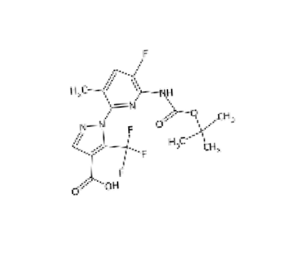 Cc1cc(F)c(NC(=O)OC(C)(C)C)nc1-n1ncc(C(=O)O)c1C(F)(F)F